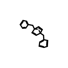 C1=CC2(Cc3ccccc3)C=CC1(Cc1ccccc1)O2